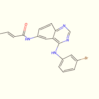 CC=CC(=O)Nc1ccc2ncnc(Nc3cccc(Br)c3)c2c1